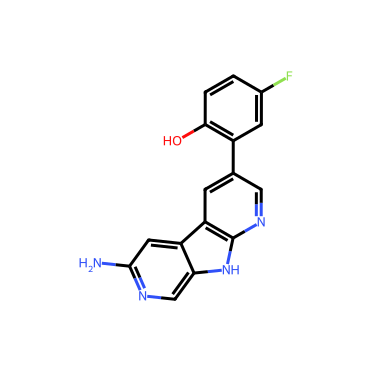 Nc1cc2c(cn1)[nH]c1ncc(-c3cc(F)ccc3O)cc12